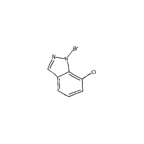 Clc1cccc2cnn(Br)c12